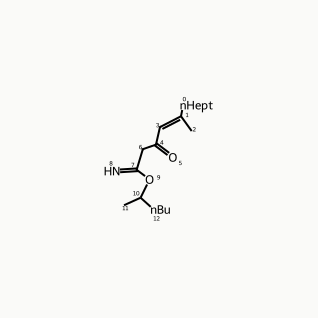 CCCCCCC/C(C)=C/C(=O)CC(=N)OC(C)CCCC